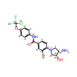 N[C@H]1CN(c2ccc(C(=O)Nc3ccc(OC(F)(F)Cl)cc3)cc2Br)C[C@@H]1O